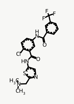 CN(C)Cc1ncc(NC(=O)c2cc(NC(=O)c3cccc(C(F)(F)F)c3)ccc2Cl)s1